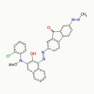 C/N=N/c1ccc2c(c1)C(=O)c1cc(/N=N/c3c(O)c(N(OC)c4ccccc4Cl)cc4ccccc34)ccc1-2